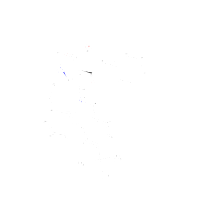 CC(C)(C)c1ccc(CN2C(=O)[C@@](N)([C@H](CCC3CCCCC3)C(=O)O)CCc3ccccc32)cc1